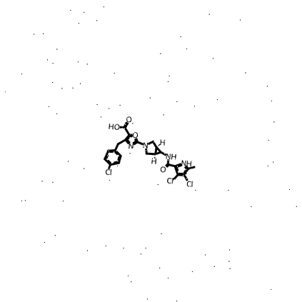 Cc1[nH]c(C(=O)NC2[C@H]3CN(c4nc(Cc5ccc(Cl)cc5)c(C(=O)O)o4)C[C@@H]23)c(Cl)c1Cl